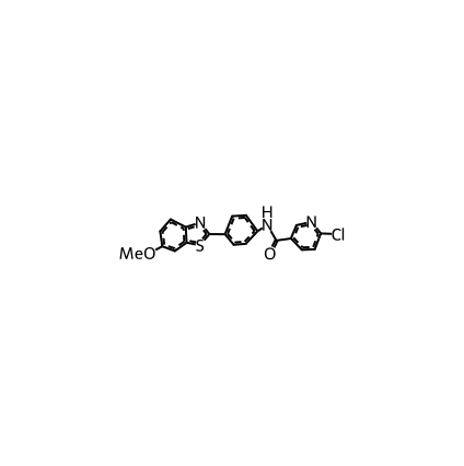 COc1ccc2nc(-c3ccc(NC(=O)c4ccc(Cl)nc4)cc3)sc2c1